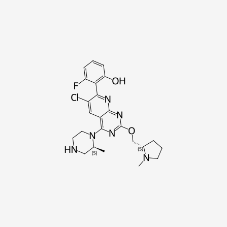 C[C@H]1CNCCN1c1nc(OC[C@@H]2CCCN2C)nc2nc(-c3c(O)cccc3F)c(Cl)cc12